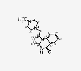 CN1CCN(Cc2nnc3[nH]c(=O)c4ccccc4n23)CC1